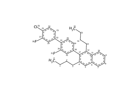 CCCCc1cc2ccccc2c(CCCC)c1-c1ccc(-c2ccc(Cl)c(F)c2)c(F)c1